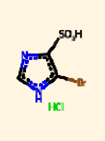 Cl.O=S(=O)(O)c1nc[nH]c1Br